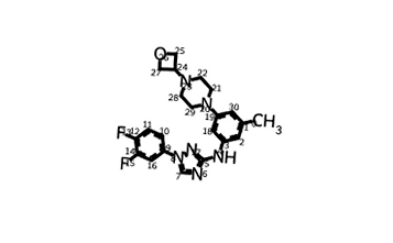 Cc1cc(Nc2ncn(-c3ccc(F)c(F)c3)n2)cc(N2CCN(C3COC3)CC2)c1